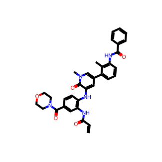 C=CC(=O)Nc1cc(C(=O)N2CCOCC2)ccc1Nc1cc(-c2cccc(NC(=O)c3ccccc3)c2C)cn(C)c1=O